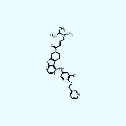 CC(C)N(C)CC=CC(=O)N1CCc2c(sc3ncnc(Nc4ccc(OCc5cccnc5)c(Cl)c4)c23)C1